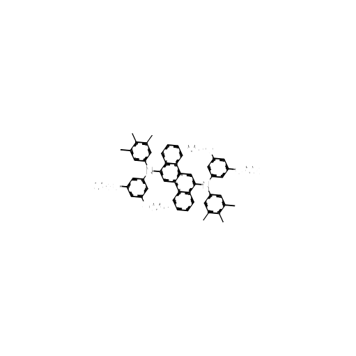 COc1cc(OC)cc(N(c2cc(C)c(C)c(C)c2)c2cc3c4ccccc4c(N(c4cc(OC)cc(OC)c4)c4cc(C)c(C)c(C)c4)cc3c3ccccc23)c1